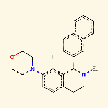 CCN1CCc2ccc(N3CCOCC3)c(F)c2C1c1ccc2ccccc2c1